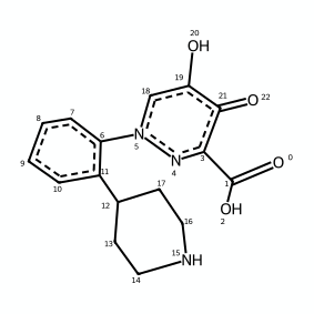 O=C(O)c1nn(-c2ccccc2C2CCNCC2)cc(O)c1=O